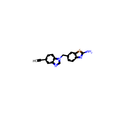 C#Cc1ccc2c(c1)ncn2Cc1ccc2nc(N)sc2c1